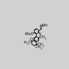 COc1ccc(/C=N/O)c(F)c1-c1cc2c(cc1C)C(C)(C)CCC2(C)C